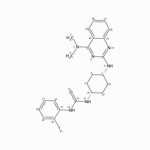 CN(C)c1nc(N[C@H]2CC[C@@H](NC(=O)Nc3ccccc3I)CC2)nc2ccccc12